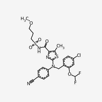 COCCCS(=O)(=O)NC(=O)c1nc(N(Cc2ccc(Cl)cc2OC(F)F)c2ccc(C#N)cc2)sc1C